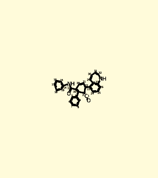 O=C=C1C(c2ccccc2)=C(C(=O)Nc2ccccc2)C=CC1c1cccc2c1C=CC=CN2